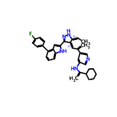 C=C(/C=c1/c(-c2cc3c(-c4ccc(F)cc4)cccc3[nH]2)n[nH]/c1=C/C)c1cncc(NC(=C)C2CCCCC2)c1